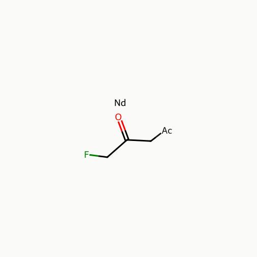 CC(=O)CC(=O)CF.[Nd]